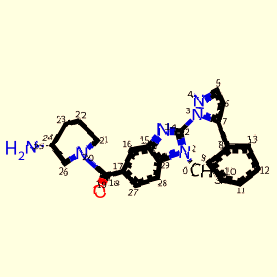 Cn1c(-n2nccc2-c2ccccc2)nc2cc(C(=O)N3CCC[C@@H](N)C3)ccc21